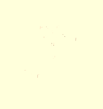 CS(=O)(=O)c1nc(I)cc(Oc2cccc(C(F)(F)F)c2)n1